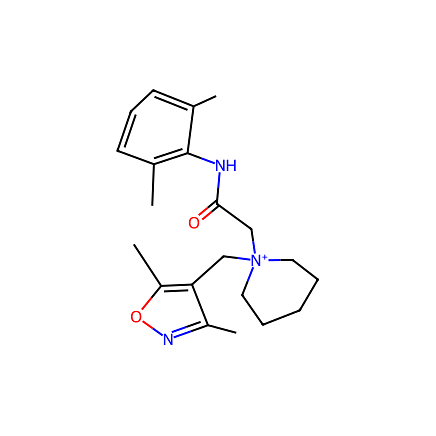 Cc1cccc(C)c1NC(=O)C[N+]1(Cc2c(C)noc2C)CCCCC1